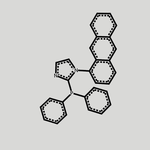 c1ccc(P(c2ccccc2)c2nccn2-c2cccc3cc4ccccc4cc23)cc1